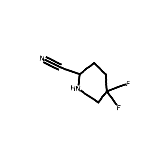 N#CC1CCC(F)(F)CN1